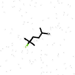 CCC(C)CCC(C)(C)F